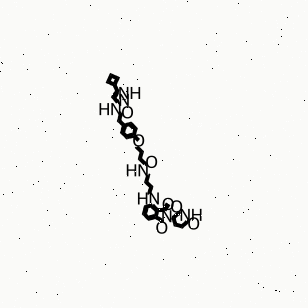 O=C(CCCOc1ccc(CC(=O)Nc2cc(C3CCC3)[nH]n2)cc1)NCCCCNc1cccc2c1C(=O)N(C1CCC(=O)NC1=O)C2=O